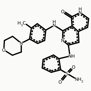 Cc1cc(Nc2nc(Nc3ccccc3S(N)(=O)=O)cc3cc[nH]c(=O)c23)ccc1N1CCOCC1